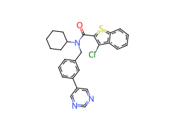 O=C(c1sc2ccccc2c1Cl)N(Cc1cccc(-c2cncnc2)c1)C1CCCCC1